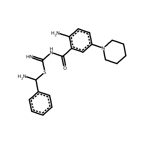 N=C(NC(=O)c1cc(N2CCCCC2)ccc1N)SC(N)c1ccccc1